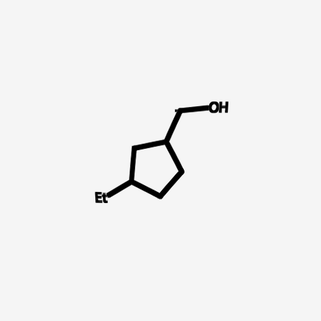 CCC1CCC([CH]O)C1